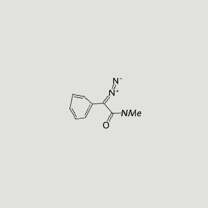 CNC(=O)C(=[N+]=[N-])c1ccccc1